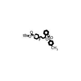 Cc1ccc(S(=O)(=O)OC(CCC2(F)CCN(C(=O)OC(C)(C)C)CC2)c2ccccc2)cc1